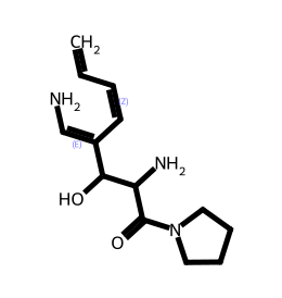 C=C/C=C\C(=C/N)C(O)C(N)C(=O)N1CCCC1